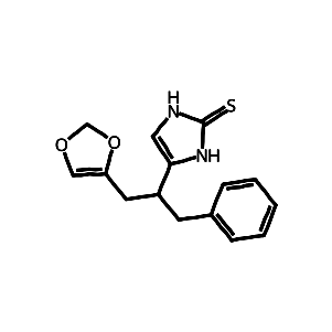 S=c1[nH]cc(C(CC2=COCO2)Cc2ccccc2)[nH]1